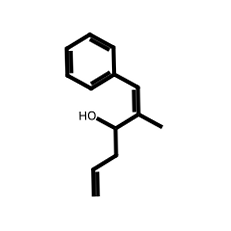 C=CCC(O)C(C)=Cc1ccccc1